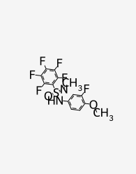 CN=S(=O)(Nc1ccc(OC)c(F)c1)c1c(F)c(F)c(F)c(F)c1F